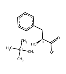 C[N+](C)(C)C.O=C([O-])[C@@H](O)Cc1ccccc1